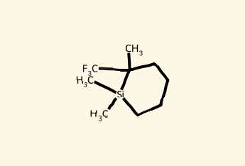 CC1(C(F)(F)F)CCCC[Si]1(C)C